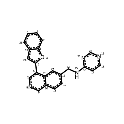 c1ccc2oc(-c3cncc4ccc(CNc5ccncn5)cc34)cc2c1